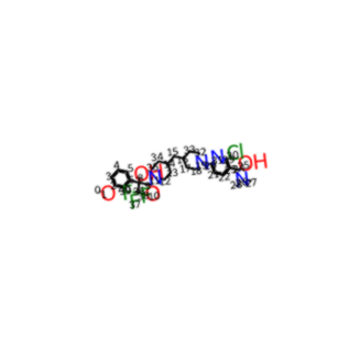 COc1cccc(C(O)(C(=O)N2CCC(CC3CCN(c4ccc(C(O)N(C)C)c(Cl)n4)CC3)CC2)C(F)(F)F)c1